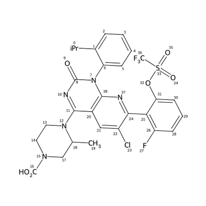 CC(C)c1ccccc1-n1c(=O)nc(N2CCN(C(=O)O)CC2C)c2cc(Cl)c(-c3c(F)cccc3OS(=O)(=O)C(F)(F)F)nc21